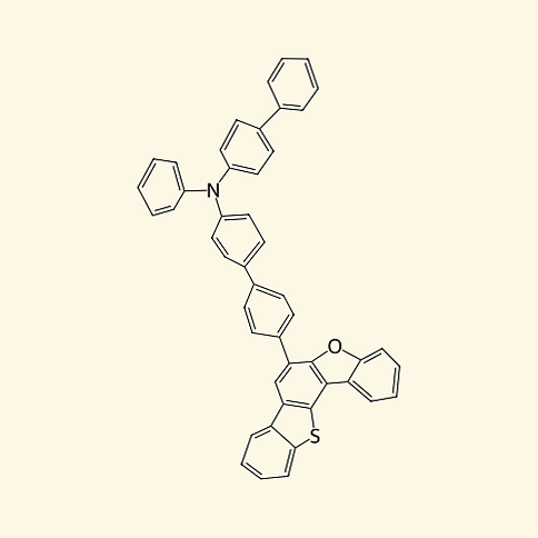 c1ccc(-c2ccc(N(c3ccccc3)c3ccc(-c4ccc(-c5cc6c7ccccc7sc6c6c5oc5ccccc56)cc4)cc3)cc2)cc1